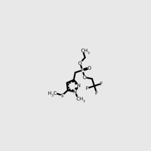 CCOP(=O)(Cc1cc(SC)n(C)n1)OCC(F)(F)F